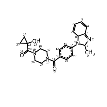 CC1N=C2C=CC=CC2N1c1ccc(C(=O)N2CCN(C(=O)C3(O)CC3)CC2)cc1